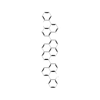 c1ccc2c(c1)Oc1ccc(-c3ccc4ccc5c(-c6ccc7c8c(cccc68)-c6ccccc6O7)ccc6ccc3c4c65)c3cccc-2c13